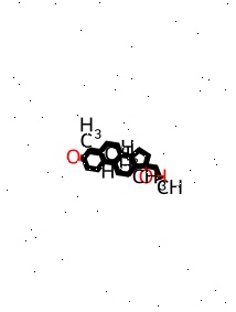 C#CC[C@]1(O)CC[C@H]2[C@@H]3CCC4=C(C)C(=O)CC[C@]4(C)[C@H]3CC[C@@]21C